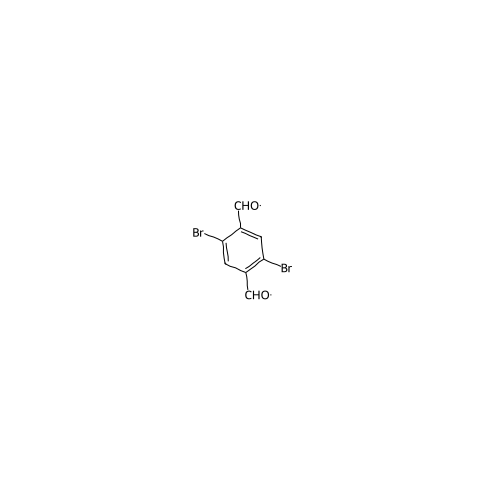 O=[C]c1cc(Br)c([C]=O)cc1Br